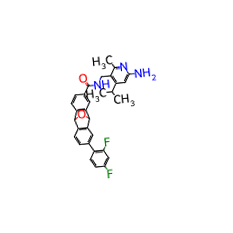 Cc1nc(N)cc(C(C)C)c1CNC(=O)c1ccc2c(c1)C1OC2c2ccc(-c3ccc(F)cc3F)cc21